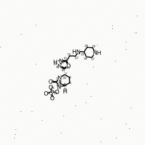 O=C1N2C[C@@H](CC[C@H]2c2nnc(CCNC3CCNCC3)o2)N1OS(=O)(=O)[O-].[H+]